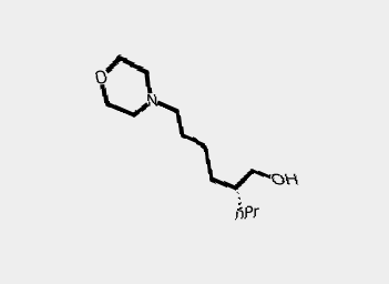 CCC[C@@H](CO)CCCCN1CCOCC1